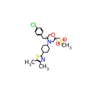 Cc1nc(C2CCC(N3C[C@H](CS(C)(=O)=O)OC[C@@H]3Cc3ccc(Cl)cc3)CC2)sc1C